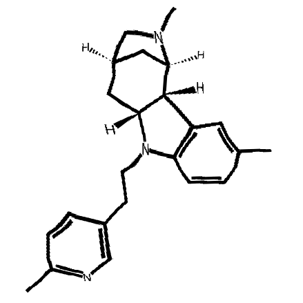 Cc1ccc2c(c1)[C@H]1[C@H]3C[C@@H](C[C@H]1N2CCc1ccc(C)nc1)CN3C